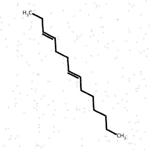 [CH2]CCCCCC=CCCC=CCC